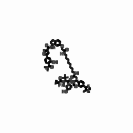 Cc1ncsc1-c1ccc([C@H](CC(=O)NCCCCCCCCNC(=O)COc2ccc3c(c2)C(NC(=O)c2cc(-c4ccc(C(=O)N(C)C)c(O)c4)on2)CC3)NC(=O)[C@@H]2C[C@@H](O)CN2C(=O)[C@@H](NC(=O)C2(F)CC2)C(C)(C)C)cc1